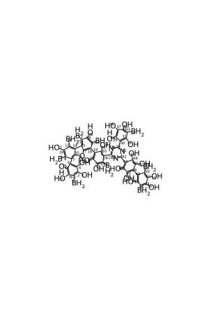 Bc1c(O)c(O)c(-c2c(B)c(O)c(B)c3c2oc2c(-c4c(O)c(O)c(B)c(-c5nc(-c6c(O)c(B)c(O)c(O)c6O)nc(-c6c(O)c(O)c(-c7c(B)c(O)c(O)c(B)c7O)c(O)c6O)n5)c4O)c(B)c(O)c(B)c23)c(O)c1O